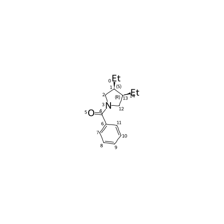 CC[C@@H]1CN(C(=O)c2ccccc2)C[C@@H]1CC